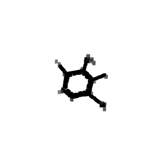 Cc1c(Br)cnc(I)c1N